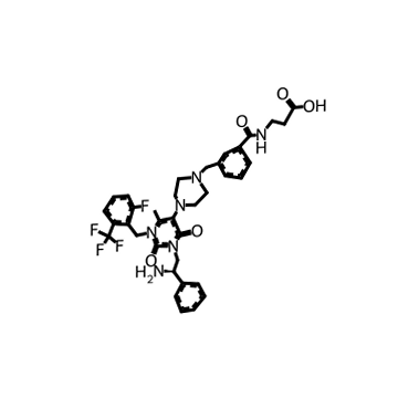 Cc1c(N2CCN(Cc3cccc(C(=O)NCCC(=O)O)c3)CC2)c(=O)n(C[C@H](N)c2ccccc2)c(=O)n1Cc1c(F)cccc1C(F)(F)F